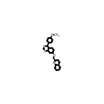 COc1ccc(-c2ncnc3cc(OCc4ccc5ccccc5n4)ccc23)cc1